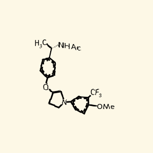 COc1ccc(N2CCC(Oc3ccc([C@H](C)NC(C)=O)cc3)C2)cc1C(F)(F)F